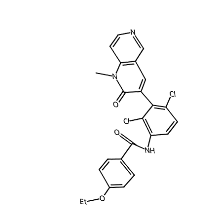 CCOc1ccc(C(=O)Nc2ccc(Cl)c(-c3cc4cnccc4n(C)c3=O)c2Cl)cc1